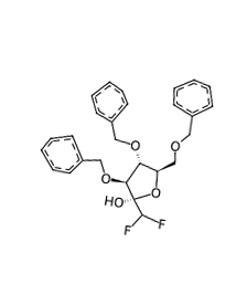 O[C@@]1(C(F)F)O[C@H](COCc2ccccc2)[C@@H](OCc2ccccc2)[C@@H]1OCc1ccccc1